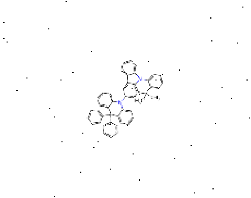 CC1(C)c2ccccc2-n2c3ccccc3c3cc(N4c5ccccc5C(c5ccccc5)(c5ccccc5)c5ccccc54)cc1c32